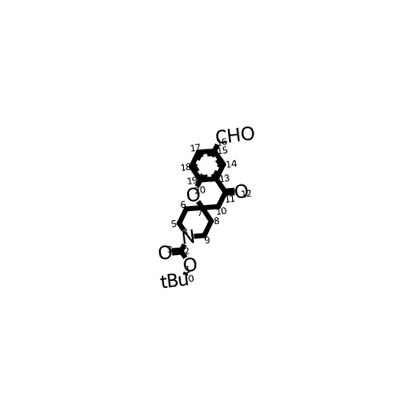 CC(C)(C)OC(=O)N1CCC2(CC1)CC(=O)c1cc(C=O)ccc1O2